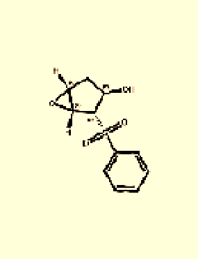 O=S(=O)(c1ccccc1)[C@@H]1[C@@H]2O[C@@H]2C[C@H]1O